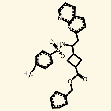 Cc1ccc(S(=O)(=O)NC(Cc2ccc3cccnc3n2)C2CC(C(=O)OCc3ccccc3)C2)cc1